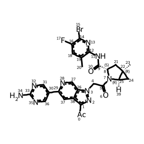 CC(=O)c1nn(CC(=O)N2[C@H](C(=O)Nc3nc(Br)c(F)cc3C)C[C@@]3(C)C[C@@H]23)c2cnc(-c3cnc(N)nc3)cc12